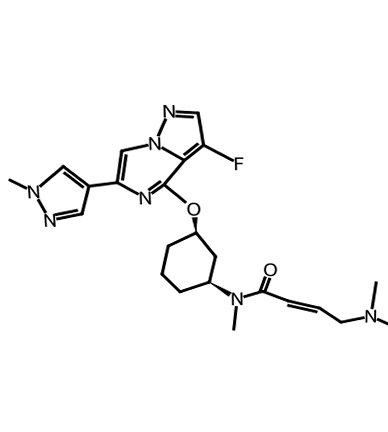 CN(C)C/C=C/C(=O)N(C)[C@H]1CCC[C@@H](Oc2nc(-c3cnn(C)c3)cn3ncc(F)c23)C1